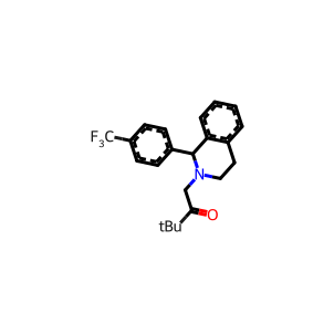 CC(C)(C)C(=O)CN1CCc2ccccc2C1c1ccc(C(F)(F)F)cc1